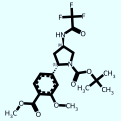 COC(=O)c1ccc([C@@H]2C[C@@H](NC(=O)C(F)(F)F)CN2C(=O)OC(C)(C)C)cc1OC